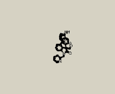 C=C(/C=C\C=N)c1cccc2c1C1(COc3cc4c(cc31)CCO4)C(=O)N2Cc1ccccn1